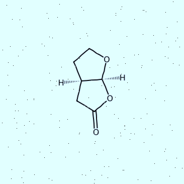 O=C1C[C@H]2CCO[C@H]2O1